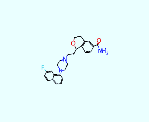 NC(=O)c1ccc2c(c1)CCOC2CCN1CCN(c2cccc3ccc(F)cc23)CC1